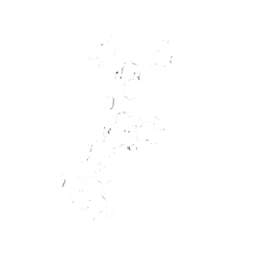 c1ccc(-c2cc(-c3ccccc3)nc(-c3ccc(-c4nc5ccc(-c6cc7ccccc7c7ccccc67)cc5c5oc6ccccc6c45)cc3)n2)cc1